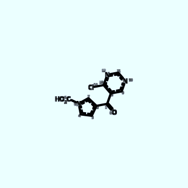 O=C(c1ccn(C(=O)O)c1)c1cncnc1Cl